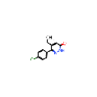 CCc1cc(=O)[nH]nc1-c1ccc(Cl)cc1